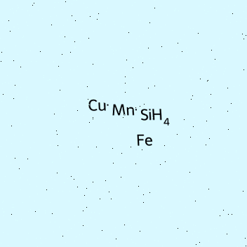 [Cu].[Fe].[Mn].[SiH4]